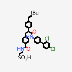 CC(C)(C)/C=C/c1ccc(C(Cc2ccc(C(=O)NCCS(=O)(=O)O)cc2)C(=O)Nc2ccc(-c3ccc(Cl)cc3Cl)cc2)cc1